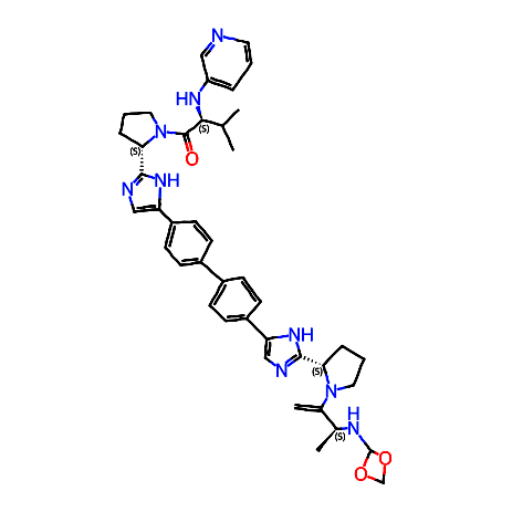 C=C([C@H](C)NC1OCO1)N1CCC[C@H]1c1ncc(-c2ccc(-c3ccc(-c4cnc([C@@H]5CCCN5C(=O)[C@@H](Nc5cccnc5)C(C)C)[nH]4)cc3)cc2)[nH]1